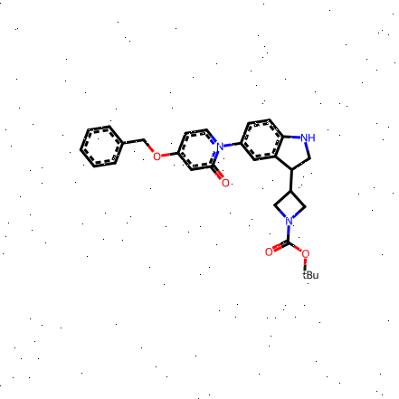 CC(C)(C)OC(=O)N1CC(C2CNc3ccc(-n4ccc(OCc5ccccc5)cc4=O)cc32)C1